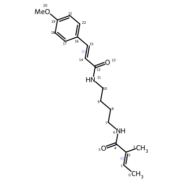 C/C=C(\C)C(=O)NCCCCNC(=O)/C=C/c1ccc(OC)cc1